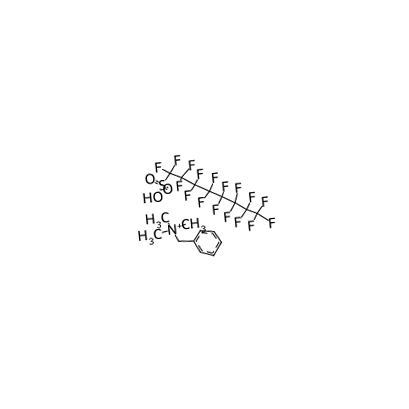 C[N+](C)(C)Cc1ccccc1.O=S(=O)(O)C(F)(F)C(F)(F)C(F)(F)C(F)(F)C(F)(F)C(F)(F)C(F)(F)C(F)(F)F